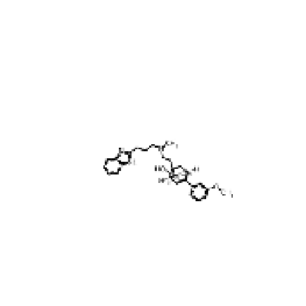 COc1cccc(C2=C[C@H]3CC[C@@H]2C[C@@]3(O)CCN(C)CCCc2nc3ccccc3[nH]2)c1